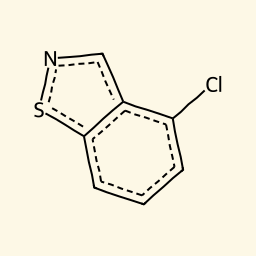 Clc1cccc2sncc12